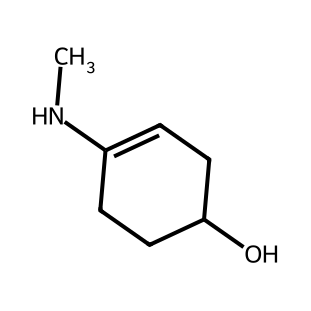 CNC1=CCC(O)CC1